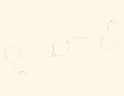 COc1ccccc1C=CCN1CCN(CC=Cc2ccccc2OC)CC1